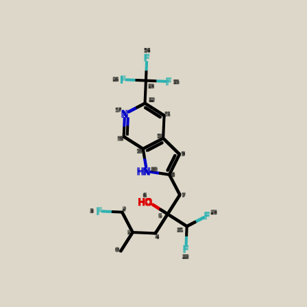 CC(CF)CC(O)(Cc1cc2cc(C(F)(F)F)ncc2[nH]1)C(F)F